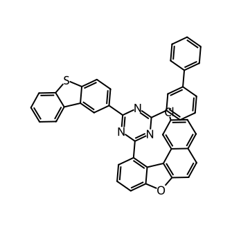 Clc1ccc2ccc3oc4cccc(-c5nc(-c6cccc(-c7ccccc7)c6)nc(-c6ccc7sc8ccccc8c7c6)n5)c4c3c2c1